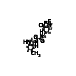 Cc1ccc2[nH]cc(NC(=O)C(=O)NCc3ccc(C(F)(F)F)c(Cl)c3)c2c1